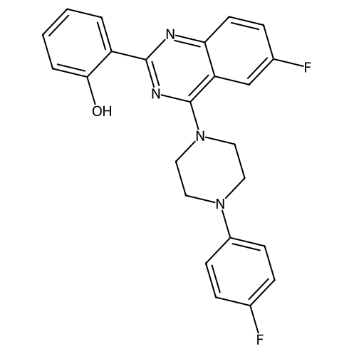 Oc1ccccc1-c1nc(N2CCN(c3ccc(F)cc3)CC2)c2cc(F)ccc2n1